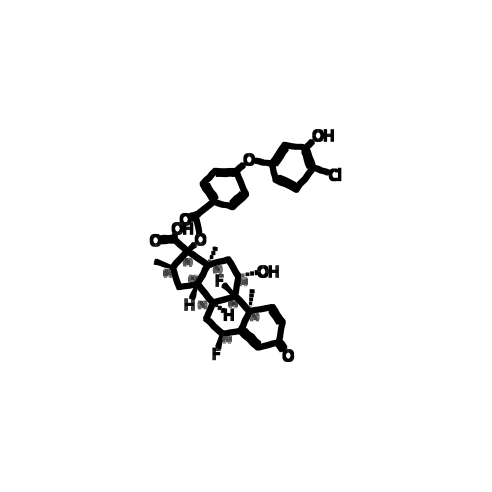 C[C@@H]1C[C@H]2[C@@H]3C[C@H](F)C4=CC(=O)C=C[C@]4(C)[C@@]3(F)[C@@H](O)C[C@]2(C)[C@@]1(OC(=O)c1ccc(Oc2ccc(Cl)c(O)c2)cc1)C(=O)O